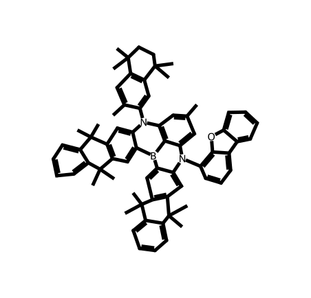 Cc1cc2c3c(c1)N(c1cccc4c1oc1ccccc14)c1cc4c(cc1B3c1cc3c(cc1N2c1cc2c(cc1C)C(C)(C)CCC2(C)C)C(C)(C)c1ccccc1C3(C)C)C(C)(C)c1ccccc1C4(C)C